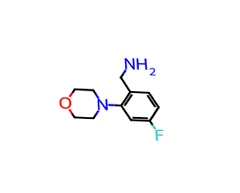 NCc1ccc(F)cc1N1CCOCC1